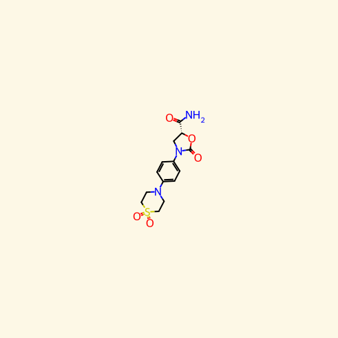 NC(=O)[C@H]1CN(c2ccc(N3CCS(=O)(=O)CC3)cc2)C(=O)O1